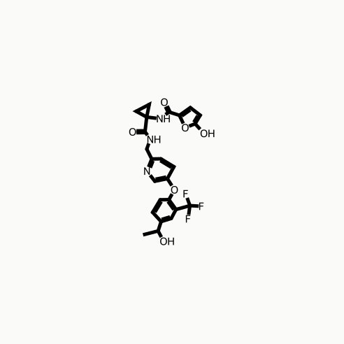 CC(O)c1ccc(Oc2ccc(CNC(=O)C3(NC(=O)c4ccc(O)o4)CC3)nc2)c(C(F)(F)F)c1